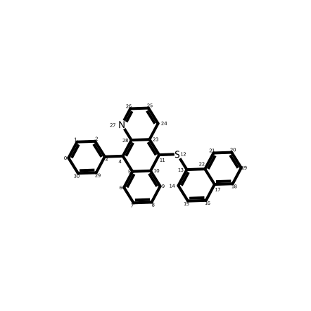 c1ccc(-c2c3ccccc3c(Sc3cccc4ccccc34)c3cccnc23)cc1